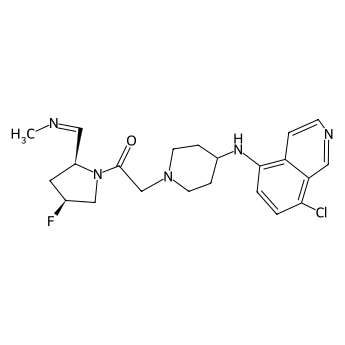 C/N=C\[C@@H]1C[C@H](F)CN1C(=O)CN1CCC(Nc2ccc(Cl)c3cnccc23)CC1